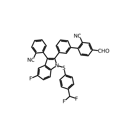 N#Cc1cc(C=O)ccc1-c1cccc(-c2c(-c3ccccc3C#N)c3cc(F)ccc3n2Sc2ccc(C(F)F)cc2)c1